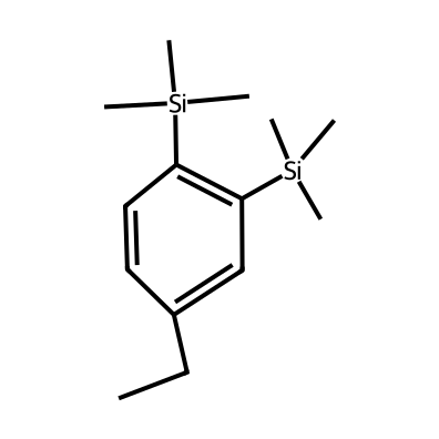 CCc1ccc([Si](C)(C)C)c([Si](C)(C)C)c1